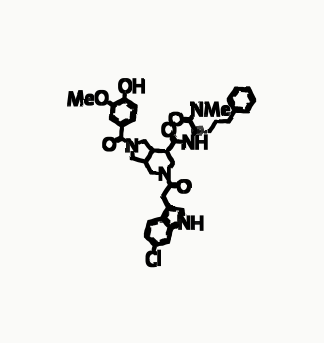 CNC(=O)[C@H](CCCc1ccccc1)NC(=O)C1CN(C(=O)Cc2c[nH]c3cc(Cl)ccc23)CC2CN(C(=O)c3ccc(O)c(OC)c3)CC21